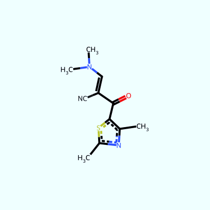 Cc1nc(C)c(C(=O)/C(C#N)=C/N(C)C)s1